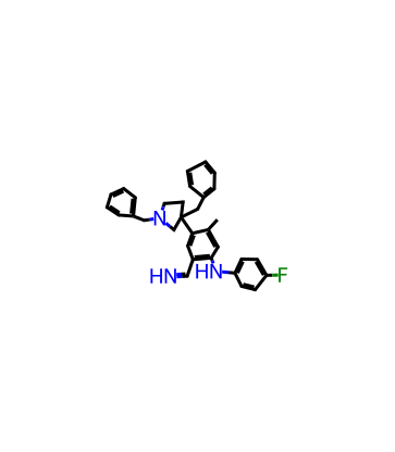 Cc1cc(Nc2ccc(F)cc2)c(C=N)cc1C1(Cc2ccccc2)CCN(Cc2ccccc2)C1